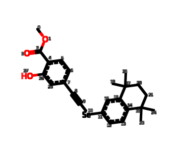 COC(=O)c1ccc(C#C[Se]c2ccc3c(c2)C(C)(C)CCC3(C)C)cc1O